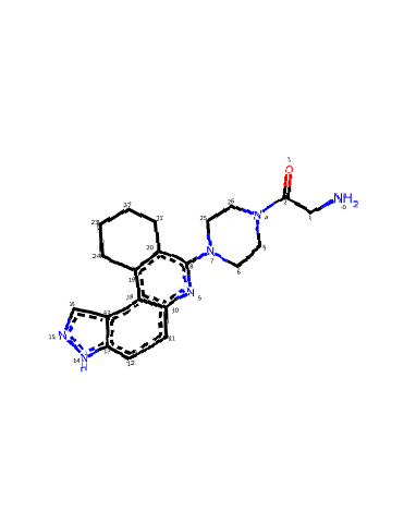 NCC(=O)N1CCN(c2nc3ccc4[nH]ncc4c3c3c2CCCC3)CC1